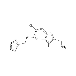 NCc1cc2cc(Cl)c(OCc3ccon3)cc2[nH]1